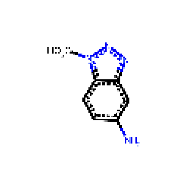 Nc1ccc2c(c1)nnn2C(=O)O